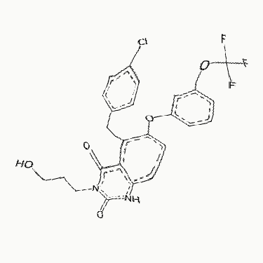 O=c1[nH]c2ccc(Oc3cccc(OC(F)(F)F)c3)c(Cc3ccc(Cl)cc3)c2c(=O)n1CCCO